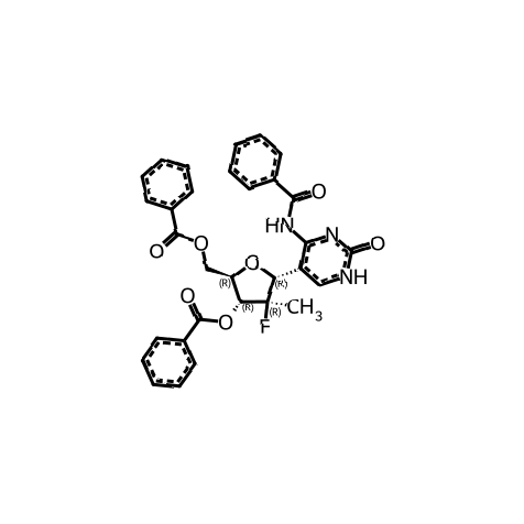 C[C@@]1(F)[C@@H](c2c[nH]c(=O)nc2NC(=O)c2ccccc2)O[C@H](COC(=O)c2ccccc2)[C@H]1OC(=O)c1ccccc1